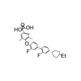 CC[C@H]1CC[C@H](c2ccc(-c3ccc(Oc4c(C)cc(P(=O)(O)O)cc4C)c(F)c3)c(F)c2)CC1